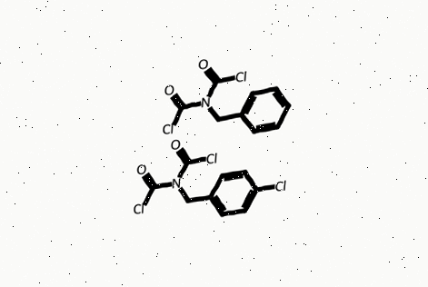 O=C(Cl)N(Cc1ccc(Cl)cc1)C(=O)Cl.O=C(Cl)N(Cc1ccccc1)C(=O)Cl